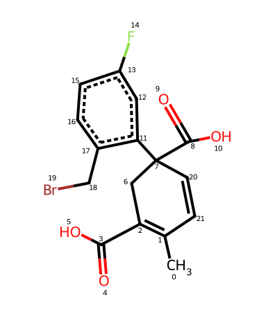 CC1=C(C(=O)O)CC(C(=O)O)(c2cc(F)ccc2CBr)C=C1